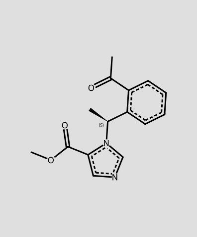 COC(=O)c1cncn1[C@@H](C)c1ccccc1C(C)=O